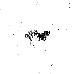 Nc1nc2c(ccn2C2CC[C@@H](COP(=O)(O)OP(=O)(O)OP(=O)(O)O)O2)c(=O)[nH]1